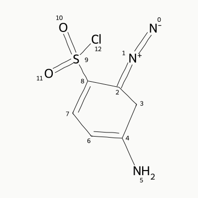 [N-]=[N+]=C1CC(N)=CC=C1S(=O)(=O)Cl